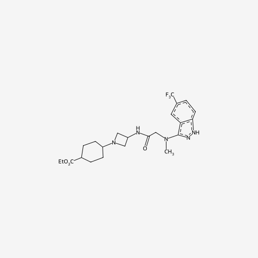 CCOC(=O)C1CCC(N2CC(NC(=O)CN(C)c3n[nH]c4ccc(C(F)(F)F)cc34)C2)CC1